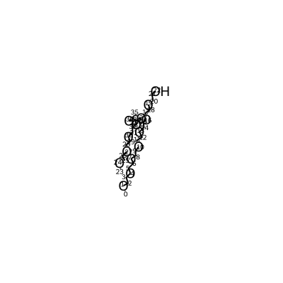 COCCOCCOCCOCCOCCOCCOCCO.COCCOCCOCCOS(C)(=O)=O